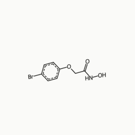 O=C(COc1ccc(Br)cc1)NO